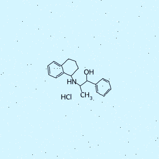 CC(NC1CCCc2ccccc21)C(O)c1ccccc1.Cl